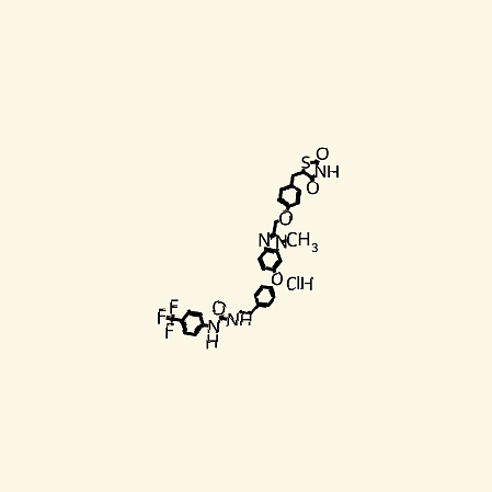 Cl.Cn1c(COc2ccc(CC3SC(=O)NC3=O)cc2)nc2ccc(Oc3ccc(CCNC(=O)Nc4ccc(C(F)(F)F)cc4)cc3)cc21